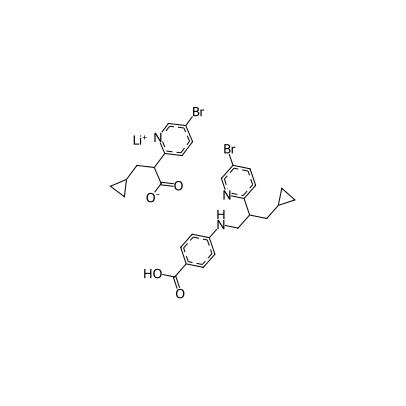 O=C(O)c1ccc(NCC(CC2CC2)c2ccc(Br)cn2)cc1.O=C([O-])C(CC1CC1)c1ccc(Br)cn1.[Li+]